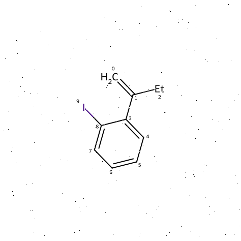 C=C(CC)c1ccccc1I